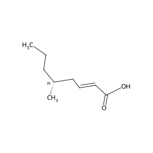 CCC[C@@H](C)CC=CC(=O)O